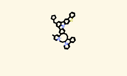 Cc1cc[n+]2c(c1)-c1cc3c4cc(CC5CCCC5)cc5c6cc7c(cc6n(c3cc1CCC1c3ccccc3-c3cccc[n+]3C1CC2)c45)sc1ccccc17